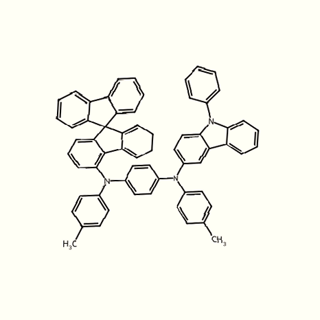 Cc1ccc(N(c2ccc(N(c3ccc(C)cc3)c3cccc4c3C3=CCCC=C3C43c4ccccc4-c4ccccc43)cc2)c2ccc3c(c2)c2ccccc2n3-c2ccccc2)cc1